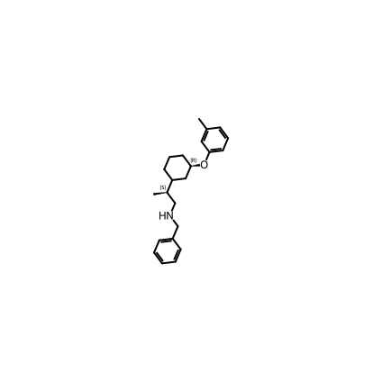 Cc1cccc(O[C@@H]2CCCC([C@H](C)CNCc3ccccc3)C2)c1